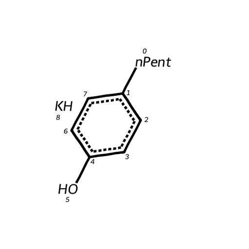 CCCCCc1ccc(O)cc1.[KH]